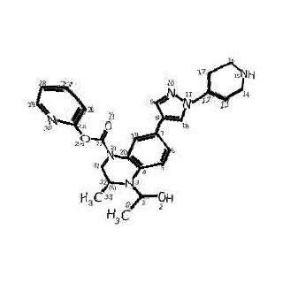 CC(O)N1c2ccc(-c3cnn(C4CCNCC4)c3)cc2N(C(=O)Oc2ccccn2)C[C@@H]1C